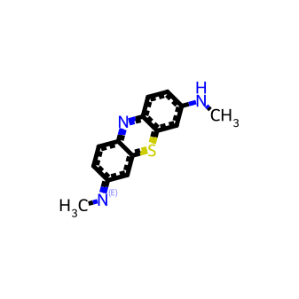 C/N=c1\ccc2nc3ccc(NC)cc3sc-2c1